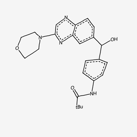 CC(C)(C)C(=O)Nc1ccc(C(O)c2ccc3ncc(N4CCOCC4)nc3c2)cc1